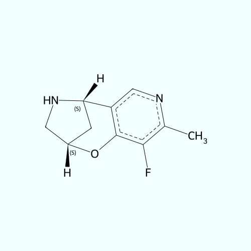 Cc1ncc2c(c1F)O[C@@H]1CN[C@H]2C1